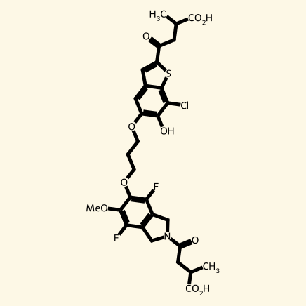 COc1c(F)c2c(c(F)c1OCCCOc1cc3cc(C(=O)CC(C)C(=O)O)sc3c(Cl)c1O)CN(C(=O)CC(C)C(=O)O)C2